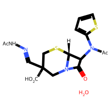 CC(=O)NN=CC1(C(=O)O)CS[C@@H]2C(N(C(C)=O)c3cccs3)C(=O)N2C1.O